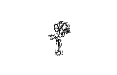 O=C1C(=Cc2cc3sc(-c4ccccc4)nc3n2-c2ccccc2)C(=O)c2c(F)ccc(F)c21